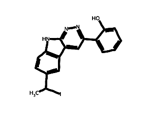 CC(I)c1ccc2[nH]c3nnc(-c4ccccc4O)cc3c2c1